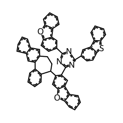 c1ccc2c(c1)-c1cc3ccccc3cc1CCC2c1cc2oc3ccccc3c2cc1-c1nc(-c2ccc3oc4ccccc4c3c2)nc(-c2ccc3sc4ccccc4c3c2)n1